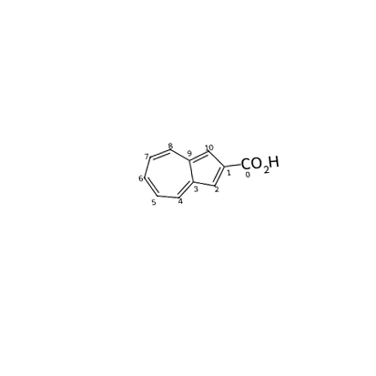 O=C(O)c1cc2cccccc-2c1